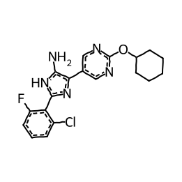 Nc1[nH]c(-c2c(F)cccc2Cl)nc1-c1cnc(OC2CCCCC2)nc1